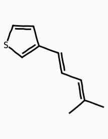 CC(C)=C/C=C/c1ccsc1